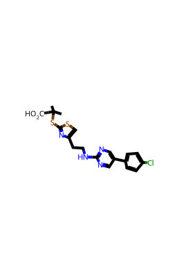 CC(C)(Sc1nc(CCNc2ncc(-c3ccc(Cl)cc3)cn2)cs1)C(=O)O